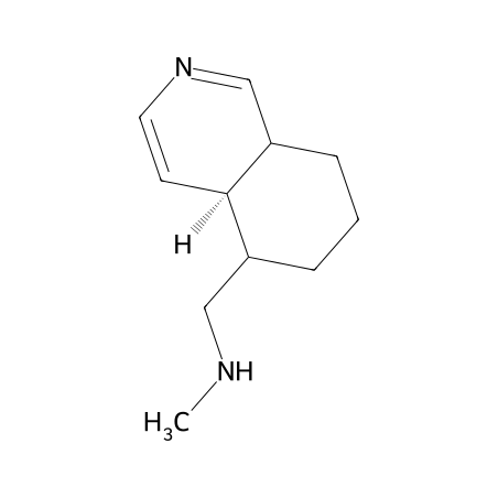 CNCC1CCCC2C=NC=C[C@@H]21